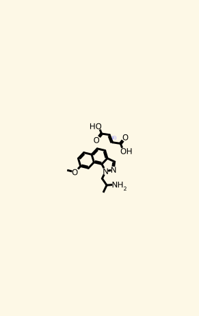 COc1ccc2ccc3cnn(CC(C)N)c3c2c1.O=C(O)/C=C/C(=O)O